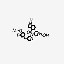 COc1ccc(Cc2ccnc(N(C(=O)c3cccc4c3CCN4)C3CCN(CCO)CC3)c2)cc1F